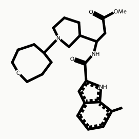 COC(=O)CC(NC(=O)c1cc2cccc(C)c2[nH]1)C1CCCN(C2CCCCCCC2)C1